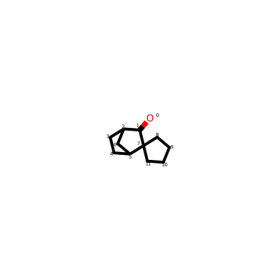 O=C1C2CCC(C2)C12CCCC2